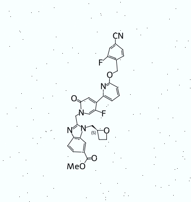 COC(=O)c1ccc2nc(Cn3cc(F)c(-c4cccc(OCc5ccc(C#N)cc5F)n4)cc3=O)n(C[C@@H]3CCO3)c2c1